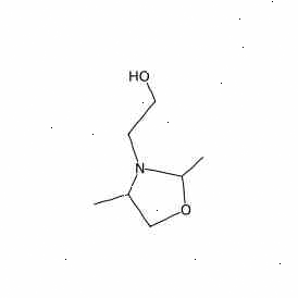 CC1COC(C)N1CCO